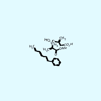 C=C(C)C(=O)OC.C=C(CC(=O)O)C(=O)O.C=CC=CC=Cc1ccccc1